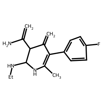 C=C(N)C1C(=C)C(c2ccc(F)cc2)=C(C)NC1NCC